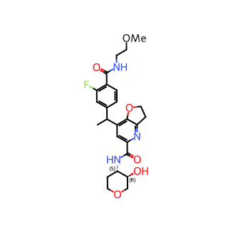 COCCNC(=O)c1ccc(C(C)c2cc(C(=O)N[C@H]3CCOC[C@@H]3O)nc3c2OCC3)cc1F